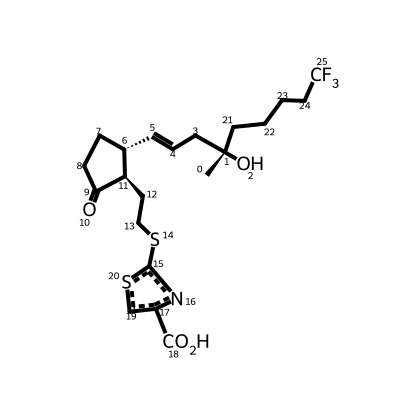 C[C@@](O)(C/C=C/[C@H]1CCC(=O)[C@@H]1CCSc1nc(C(=O)O)cs1)CCCCC(F)(F)F